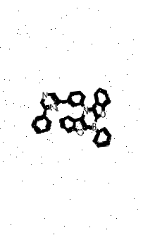 c1ccc(B2c3oc4ccccc4c3N(c3cccc(-c4cncc(-c5ccccc5)n4)c3)c3c2oc2ccccc32)cc1